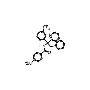 CC(C)(C)c1ccc(C(=O)NC(Cc2ccccc2)(c2cccc(C(F)(F)F)c2)c2ccccn2)cc1